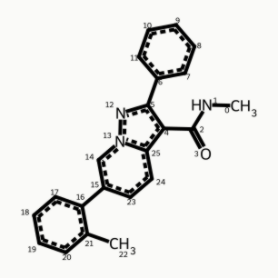 CNC(=O)c1c(-c2ccccc2)nn2cc(-c3ccccc3C)ccc12